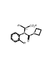 CC(C)c1ccccc1N(C(=O)N1CCC1)[C@H](C(=O)O)C(C)C